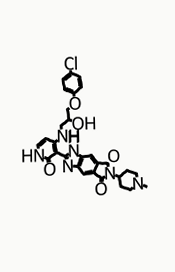 CN1CCC(N2C(=O)c3cc4nc(-c5c(NCC(O)COc6ccc(Cl)cc6)cc[nH]c5=O)[nH]c4cc3C2=O)CC1